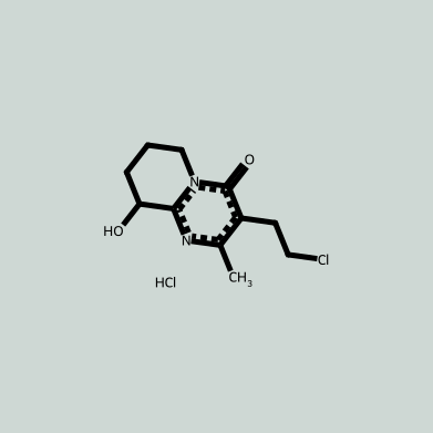 Cc1nc2n(c(=O)c1CCCl)CCCC2O.Cl